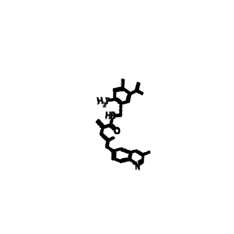 C=C(/C=C(\C)Cc1ccc2ncc(C)cc2c1)C(=O)BCc1cc(C(=C)C)c(C)cc1P